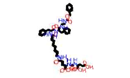 O=C(O)CCC(NC(=O)NC(CCC(=O)NCCCCCCCC(=O)NC(Cc1ccccc1)C(=O)NC(Cc1ccccc1)C(=O)NCCNC(=O)OCc1ccccc1)C(=O)O)C(=O)O